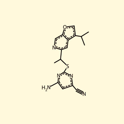 CC(C)c1coc2cnc(C(C)Sc3nc(N)cc(C#N)n3)cc12